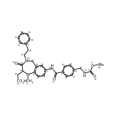 CN1c2ccc(NC(=O)c3ccc(CNC(=O)OC(C)(C)C)cc3)cc2CN(CCc2ccccc2)C(=O)C1CC(=O)O